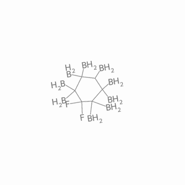 BC1C(B)(B)C(B)(B)C(F)(F)C(B)(B)C1(B)B